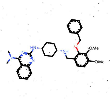 COc1ccc(CN[C@H]2CC[C@@H](Nc3nc(N(C)C)c4ccccc4n3)CC2)c(OCc2ccccc2)c1OC